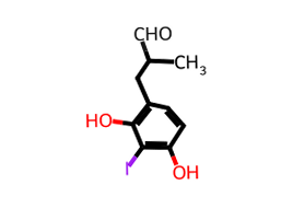 CC(C=O)Cc1ccc(O)c(I)c1O